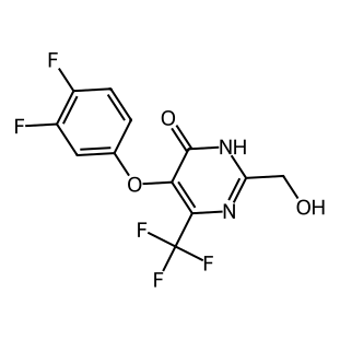 O=c1[nH]c(CO)nc(C(F)(F)F)c1Oc1ccc(F)c(F)c1